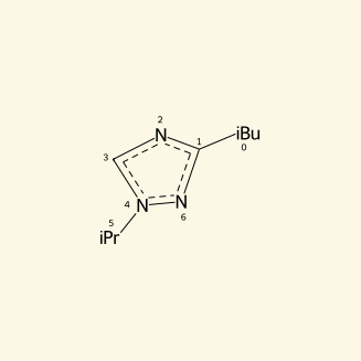 CCC(C)c1ncn(C(C)C)n1